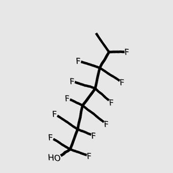 CC(F)C(F)(F)C(F)(F)C(F)(F)C(F)(F)C(O)(F)F